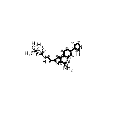 CC(C)(C)OC(=O)NCCc1nc2c(N)nc3cc(-c4ccn[nH]4)ccc3c2s1